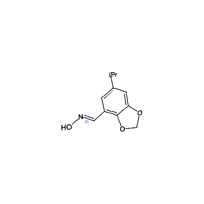 CC(C)c1cc(/C=N/O)c2c(c1)OCO2